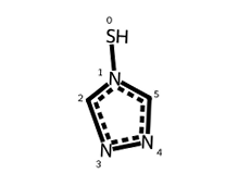 Sn1cnnc1